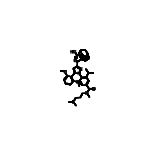 COc1cccc(OC)c1-c1cc(C(=O)NC2(C(=O)O)C3CC4CC(C3)C2C4)nn1-c1ccc(C(=O)N(C)CCCN(C)C)cc1C(C)C